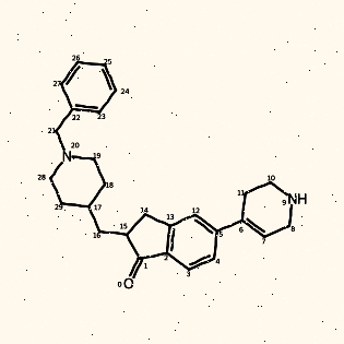 O=C1c2ccc(C3=CCNCC3)cc2CC1CC1CCN(Cc2ccccc2)CC1